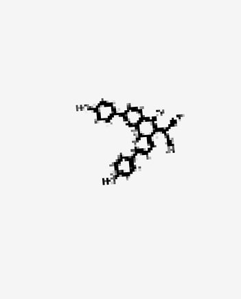 N#CC(C#N)=C1C(=O)c2ccc(-c3ccc(O)cc3)nc2-c2nc(-c3ccc(O)cc3)ccc21